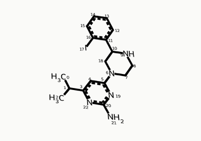 CC(C)c1cc(N2CCNC(c3ccccc3I)C2)nc(N)n1